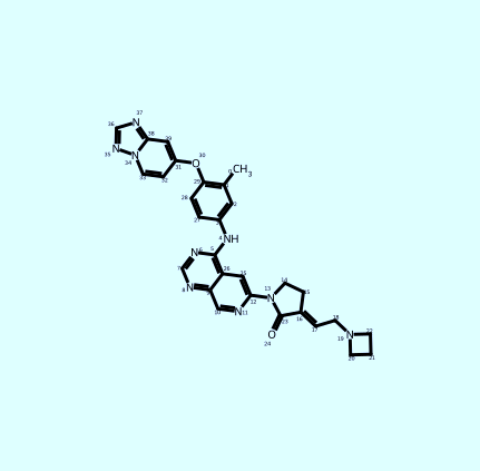 Cc1cc(Nc2ncnc3cnc(N4CC/C(=C\CN5CCC5)C4=O)cc23)ccc1Oc1ccn2ncnc2c1